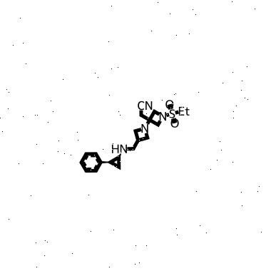 CCS(=O)(=O)N1CC(CC#N)(N2CC(CN[C@@H]3C[C@H]3c3ccccc3)C2)C1